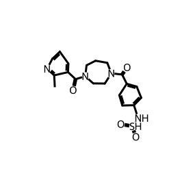 Cc1ncccc1C(=O)N1CCCN(C(=O)c2ccc(N[SH](=O)=O)cc2)CC1